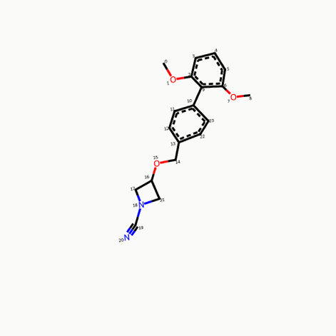 COc1cccc(OC)c1-c1ccc(COC2CN(C#N)C2)cc1